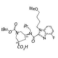 COCCCCn1c(C(=O)N(CC(C)C)[C@H]2C[C@@H](C(=O)O)CN(C(=O)OC(C)(C)C)C2)nc2c(F)cccc21